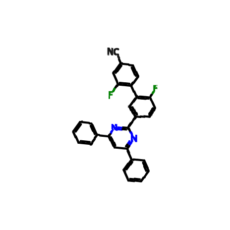 N#Cc1ccc(-c2cc(-c3nc(-c4ccccc4)cc(-c4ccccc4)n3)ccc2F)c(F)c1